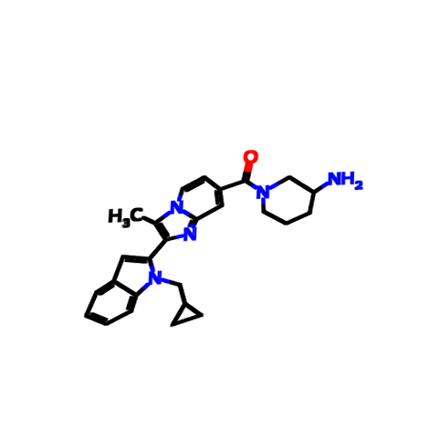 Cc1c(-c2cc3ccccc3n2CC2CC2)nc2cc(C(=O)N3CCCC(N)C3)ccn12